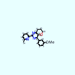 COc1cccc(-c2nc(-c3cccc(C)n3)nc3c2OCCC3)c1